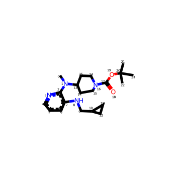 CN(c1ncccc1NCC1CC1)C1CCN(C(=O)OC(C)(C)C)CC1